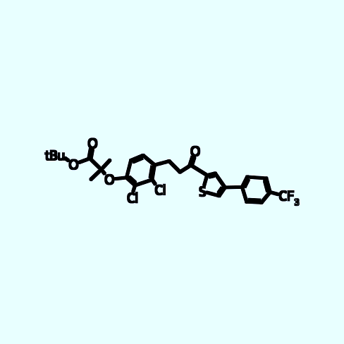 CC(C)(C)OC(=O)C(C)(C)Oc1ccc(CCC(=O)c2cc(-c3ccc(C(F)(F)F)cc3)cs2)c(Cl)c1Cl